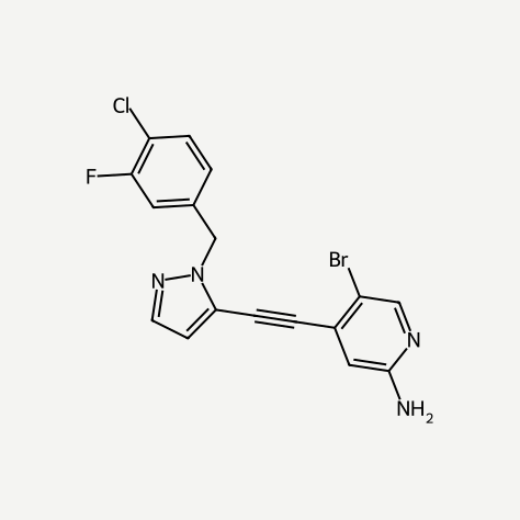 Nc1cc(C#Cc2ccnn2Cc2ccc(Cl)c(F)c2)c(Br)cn1